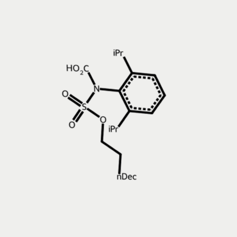 CCCCCCCCCCCCOS(=O)(=O)N(C(=O)O)c1c(C(C)C)cccc1C(C)C